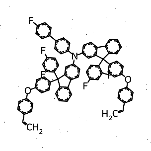 C=Cc1ccc(Oc2ccc(C3(c4ccc(F)cc4F)c4ccccc4-c4ccc(N(c5ccc(-c6ccc(F)cc6)cc5)c5ccc6c(c5)C(c5ccc(Oc7ccc(C=C)cc7)cc5)(c5ccc(F)cc5F)c5ccccc5-6)cc43)cc2)cc1